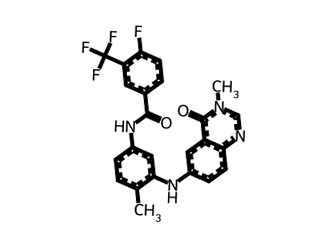 Cc1ccc(NC(=O)c2ccc(F)c(C(F)(F)F)c2)cc1Nc1ccc2ncn(C)c(=O)c2c1